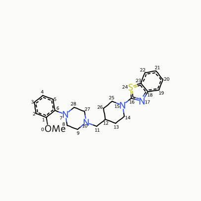 COc1ccccc1N1CCN(CC2CCN(c3nc4ccccc4s3)CC2)CC1